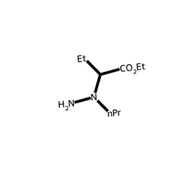 CCCN(N)C(CC)C(=O)OCC